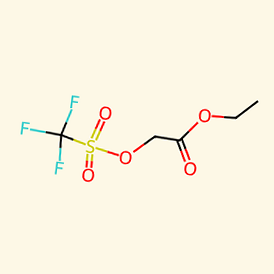 CCOC(=O)COS(=O)(=O)C(F)(F)F